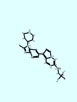 Cc1nc2ncc(-c3ccn4nc(NCC(C)(F)F)ncc34)cc2n1C1CCOCC1